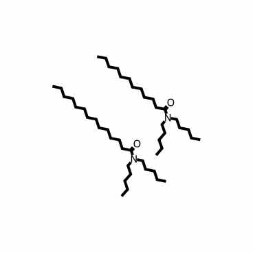 CCCCCCCCCCCC(=O)N(CCCCC)CCCCC.CCCCCCCCCCCCCC(=O)N(CCCCC)CCCCC